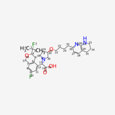 CC(C)(F)C1Cc2c(cc(F)cc2[C@H](C(=O)O)N2CC[C@@H](OCCCCc3ccc4c(n3)NCCC4)C2)CO1